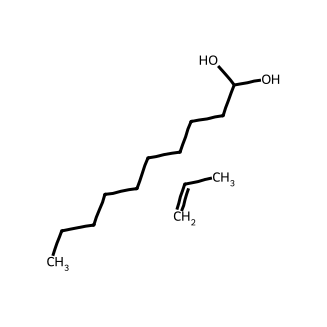 C=CC.CCCCCCCCCC(O)O